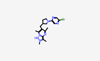 CC1=NC2=C(C)N(C)NN2C(C)=C1CC1CCN(c2cnc(Br)cn2)C1